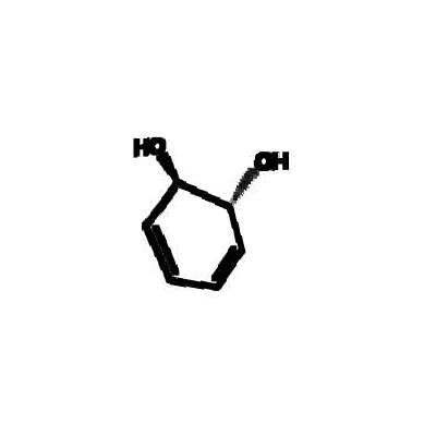 O[C@@H]1C=CC=C[C@H]1O